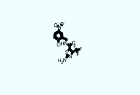 NC1=NC(C(F)(F)F)C(C(=O)NCc2cc([N+](=O)[O-])ccc2Cl)S1